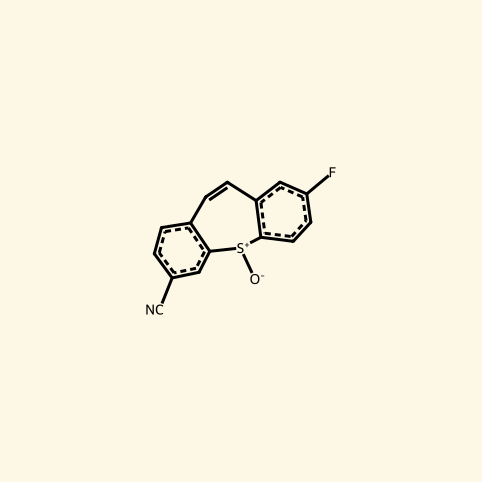 N#Cc1ccc2c(c1)[S+]([O-])c1ccc(F)cc1C=C2